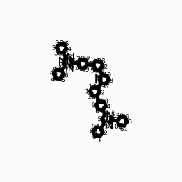 c1ccc(-c2cc(-c3ccc(-c4cccc(-c5cccc(-c6cccc(-c7ccc(-c8nc(-c9ccccc9)nc(-c9ccccc9)n8)cc7)c6)n5)c4)cc3)nc(-c3ccccc3)n2)cc1